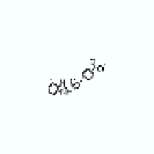 COC(=O)c1ccc(-c2ccc(-c3nc4c(C)cccc4[nH]3)o2)cc1